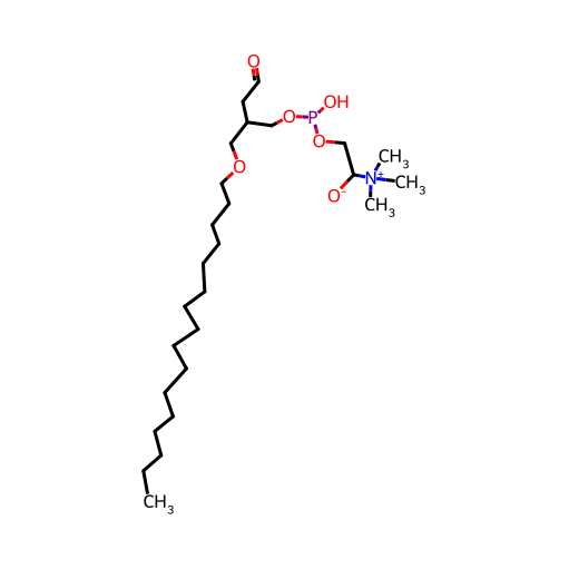 CCCCCCCCCCCCCCCCOCC(CC=O)COP(O)OCC([O-])[N+](C)(C)C